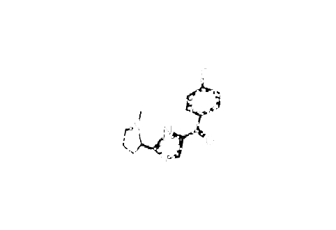 CN1CCCC1c1nc(C(=O)c2ccc(F)cc2)cs1